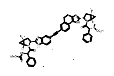 COC(=O)N[C@@H](C(=O)N1[C@@H]2C[C@H]2C[C@H]1c1nc2cc(C#Cc3ccc4c(c3)CCc3nc([C@@H]5C[C@H]6C[C@H]6N5C(=O)[C@@H](c5ccccc5)N(C)C(=O)O)[nH]c3-4)ccc2[nH]1)c1ccccc1